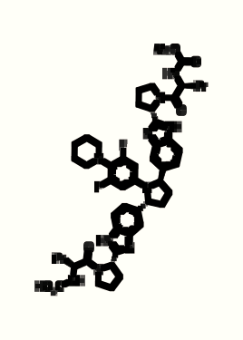 COC(=O)N[C@H](C(=O)N1CCC[C@H]1c1nc2cc([C@H]3CC[C@H](c4ccc5[nH]c([C@@H]6CCCN6C(=O)[C@@H](NC(=O)O)C(C)C)nc5c4)N3c3cc(F)c(N4CCCCC4)c(F)c3)ccc2[nH]1)C(C)C